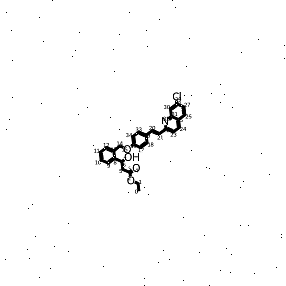 CCOC(=O)CC(O)c1ccccc1COc1ccc(C=Cc2ccc3ccc(Cl)cc3n2)cc1